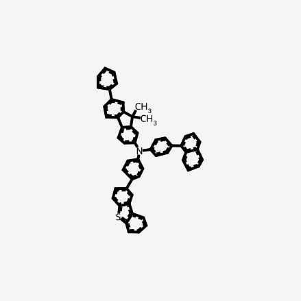 CC1(C)c2cc(-c3ccccc3)ccc2-c2ccc(N(c3ccc(-c4ccc5sc6ccccc6c5c4)cc3)c3ccc(-c4cccc5ccccc45)cc3)cc21